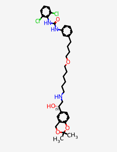 CC1(C)OCc2cc([C@H](O)CNCCCCCCOCCCCc3cccc(NC(=O)Nc4c(Cl)cccc4Cl)c3)ccc2O1